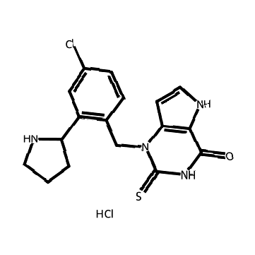 Cl.O=c1[nH]c(=S)n(Cc2ccc(Cl)cc2C2CCCN2)c2cc[nH]c12